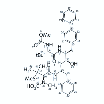 COC(=O)N[C@H](C(=O)N[C@@H](Cc1ccc(-c2ccccn2)cc1)[C@@H](O)C[C@H](Cc1ccccc1)NC(=O)[C@@H](N(C)C(=O)O)C(C)(C)SC)C(C)(C)C